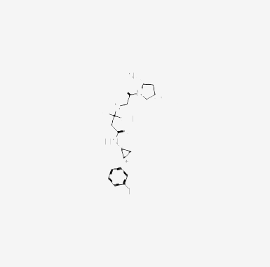 C[C@H]1C[C@@H](C#N)N(C(=O)CNC(C)(C)CC(=O)N[C@H]2C[C@@H]2c2cccc(F)c2)C1